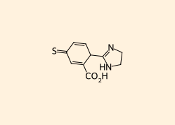 O=C(O)C1=CC(=S)C=CC1C1=NCCN1